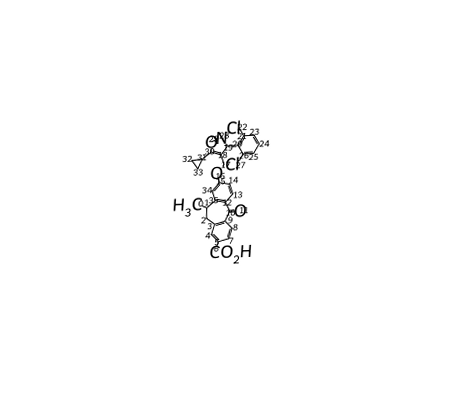 CC1Cc2cc(C(=O)O)ccc2C(=O)c2ccc(OCc3c(-c4c(Cl)cccc4Cl)noc3C3CC3)cc21